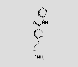 CC(C)(CN)CCc1ccc(C(=O)Nc2ccncc2)cc1